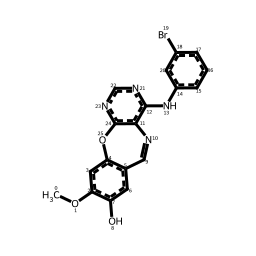 COc1cc2c(cc1O)C=Nc1c(Nc3cccc(Br)c3)ncnc1O2